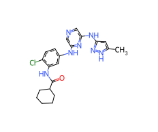 Cc1cc(Nc2cncc(Nc3ccc(Cl)c(NC(=O)C4CCCCC4)c3)n2)n[nH]1